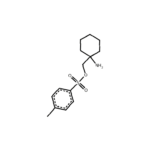 Cc1ccc(S(=O)(=O)OCC2(N)CCCCC2)cc1